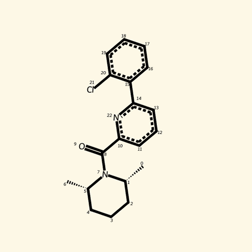 C[C@@H]1CCC[C@H](C)N1C(=O)c1cccc(-c2ccccc2Cl)n1